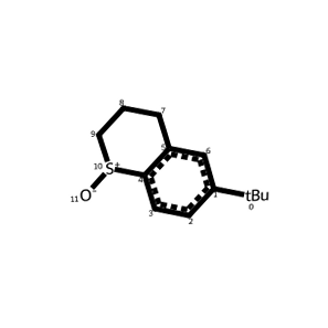 CC(C)(C)c1ccc2c(c1)CCC[S+]2[O-]